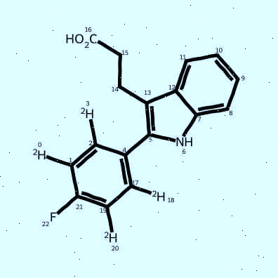 [2H]c1c([2H])c(-c2[nH]c3ccccc3c2CCC(=O)O)c([2H])c([2H])c1F